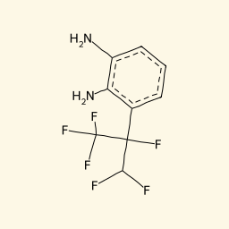 Nc1cccc(C(F)(C(F)F)C(F)(F)F)c1N